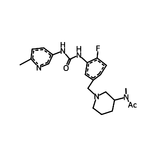 CC(=O)N(C)C1CCCN(Cc2ccc(F)c(NC(=O)Nc3ccc(C)nc3)c2)C1